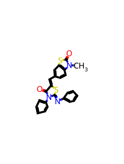 Cn1c(=O)sc2cc(/C=C3\S/C(=N\c4ccccc4)N(c4ccccc4)C3=O)ccc21